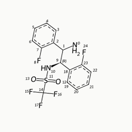 NC(c1ccccc1F)[C@H](NS(=O)(=O)C(F)(F)F)c1ccccc1F